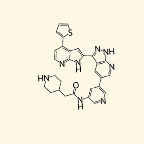 O=C(CC1CCNCC1)Nc1cncc(-c2cnc3[nH]nc(-c4cc5c(-c6cccs6)ccnc5[nH]4)c3c2)c1